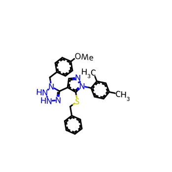 COc1ccc(CN2NNN=C2c2cnn(-c3ccc(C)cc3C)c2SCc2ccccc2)cc1